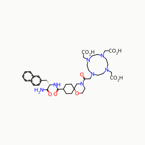 NC(=O)[C@H](Cc1ccc2ccccc2c1)NC(=O)C1CCC2(CC1)CN(C(=O)CN1CCN(CC(=O)O)CCN(CC(=O)O)CCN(CC(=O)O)CC1)CCO2